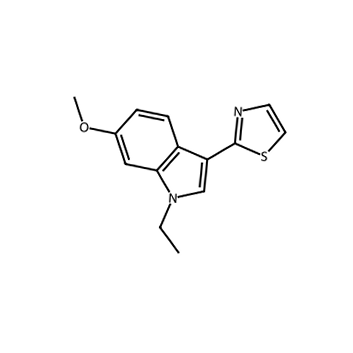 CCn1cc(-c2nccs2)c2ccc(OC)cc21